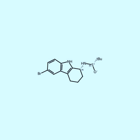 CC(C)(C)[S@+]([O-])N[C@@H]1CCCc2c1[nH]c1ccc(Br)cc21